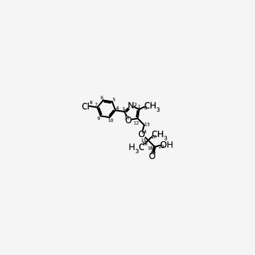 Cc1nc(-c2ccc(Cl)cc2)oc1COC(C)(C)C(=O)O